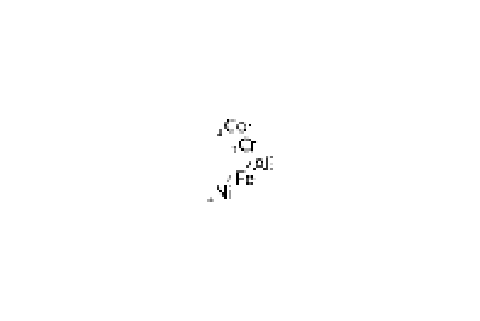 [Al].[Co].[Cr].[Fe].[Ni]